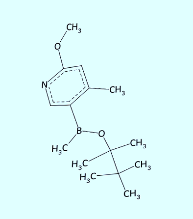 COc1cc(C)c(B(C)OC(C)(C)C(C)(C)C)cn1